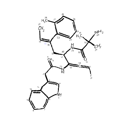 C=C(Cc1c[nH]c2ccccc12)NC(=C=CI)[C@@H](C/C(=C/C)c1ccccc1C)NC(=O)C(C)(C)N